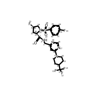 O=C(NCc1cc(N2CCC(C(F)(F)F)CC2)ncn1)[C@H]1C[C@@H](F)CN1S(=O)(=O)c1ccc(F)cc1